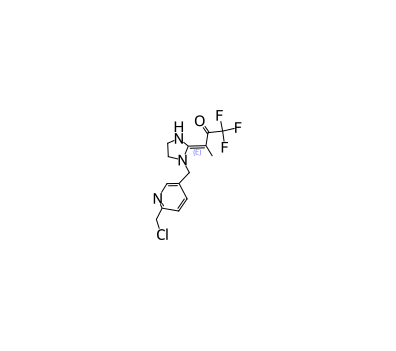 C/C(C(=O)C(F)(F)F)=C1/NCCN1Cc1ccc(CCl)nc1